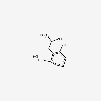 Cc1cccc(C)c1C[C@H](N)C(=O)O.Cl